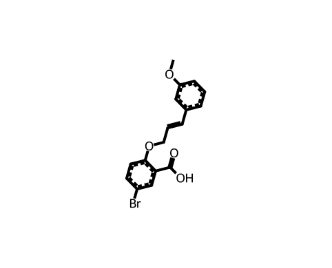 COc1cccc(C=CCOc2ccc(Br)cc2C(=O)O)c1